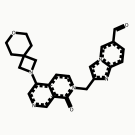 O=Cc1ccc2nc(Cn3ccc4c(N5CC6(CCOCC6)C5)cncc4c3=O)cn2c1